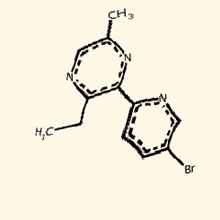 C[CH]c1ncc(C)nc1-c1ccc(Br)cn1